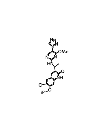 COc1nc(N[C@@H](C)c2cc3cc(Cl)c(OC(C)C)cc3[nH]c2=O)ncc1-n1cnnn1